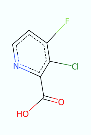 O=C(O)c1nccc(F)c1Cl